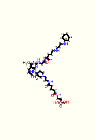 C=C/C=C\c1c(C)nc(NCc2nc(CCCNCCCNC3CCCCC3)co2)nc1NC1CCN(CCNC(=O)CCCC(=O)NCCP(=O)(O)O)CC1